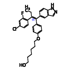 CC/C(=C(/c1ccc(OCCCCCCO)cc1)c1ccc2[nH]ncc2c1)c1ccc(Cl)cc1F